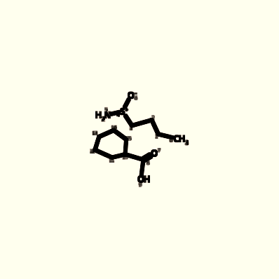 CCCC[S+](N)[O-].O=C(O)C1CCCCC1